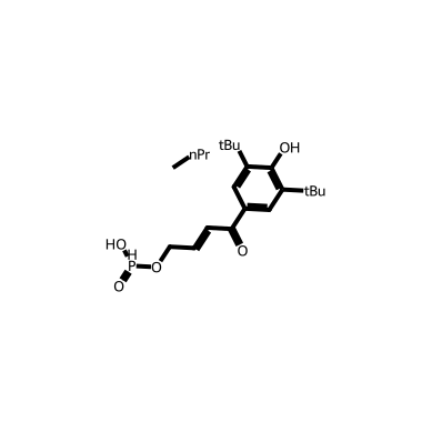 CC(C)(C)c1cc(C(=O)/C=C/CO[PH](=O)O)cc(C(C)(C)C)c1O.CCCC